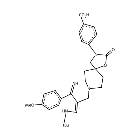 COc1ccc(C(=N)/C(=C\NC(C)(C)C)CN2CCC3(CC2)CN(c2ccc(C(=O)O)cc2)C(=O)O3)cc1